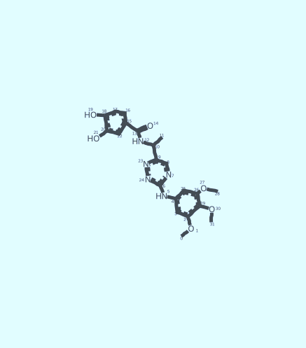 COc1cc(Nc2ncc(C(C)NC(=O)c3ccc(O)c(O)c3)nn2)cc(OC)c1OC